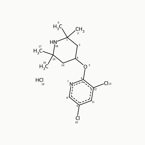 CC1(C)CC(Oc2ncc(Cl)cc2Cl)CC(C)(C)N1.Cl